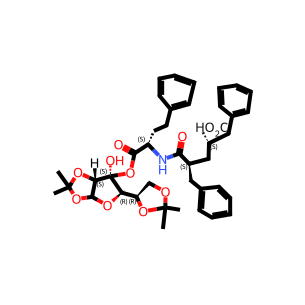 CC1(C)OC[C@H]([C@H]2OC3OC(C)(C)O[C@@H]3[C@@]2(O)OC(=O)[C@H](CCc2ccccc2)NC(=O)[C@H](Cc2ccccc2)C[C@@H](Cc2ccccc2)C(=O)O)O1